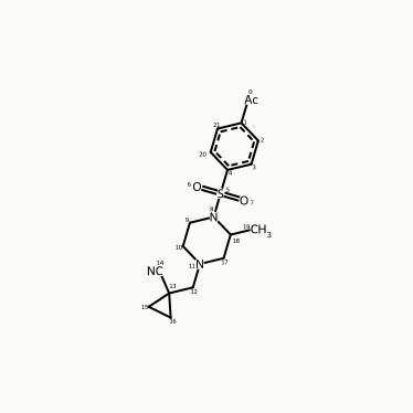 CC(=O)c1ccc(S(=O)(=O)N2CCN(CC3(C#N)CC3)CC2C)cc1